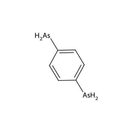 [AsH2]c1ccc([AsH2])cc1